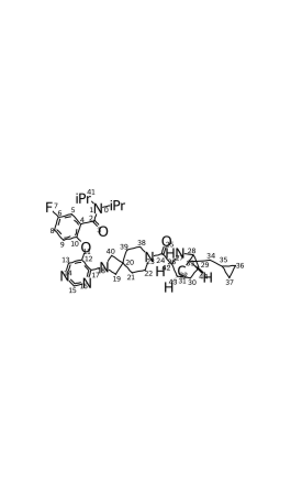 CC(C)N(C(=O)c1cc(F)ccc1Oc1cncnc1N1CC2(CCN(C(=O)[C@H]3NC4CC[C@@H]3C[C@H]4CC3CC3)CC2)C1)C(C)C